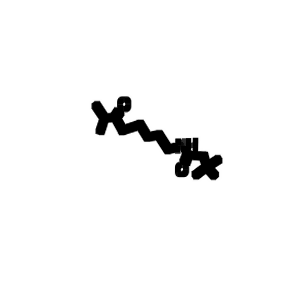 CC(C)C(=O)CCCCCNC(=O)CC(C)(C)C